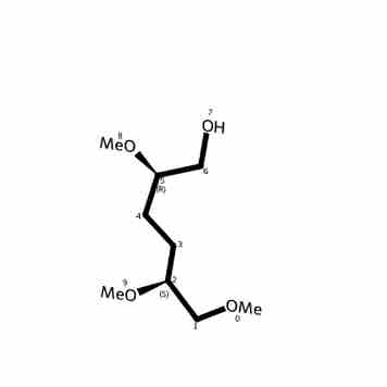 COC[C@H](CC[C@H](CO)OC)OC